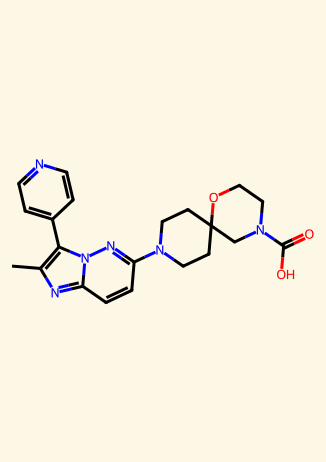 Cc1nc2ccc(N3CCC4(CC3)CN(C(=O)O)CCO4)nn2c1-c1ccncc1